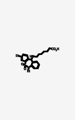 CCc1ccc2c(c1)S(=O)(=O)N(CC)c1ccccc1C2NCCCCCCC(=O)O